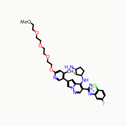 COCCOCCOCCOCCOc1cc(C)c(-c2cc3c(N[C@@H]4CC[C@H](N)C4)c(/C(N)=N/c4cc(F)ccc4Cl)cnn3c2)cn1